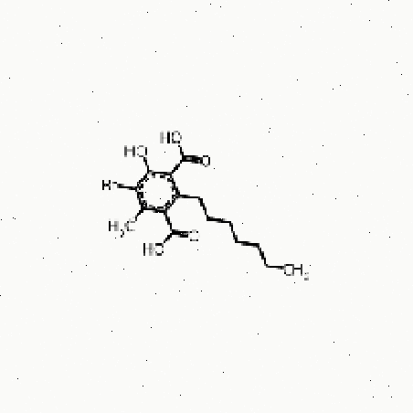 CCCCCCCc1c(C(=O)O)c(C)c(Br)c(O)c1C(=O)O